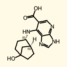 O=C(O)c1cnc2[nH]cnc2c1N[C@H]1CCC2(O)CC[C@H]1C2